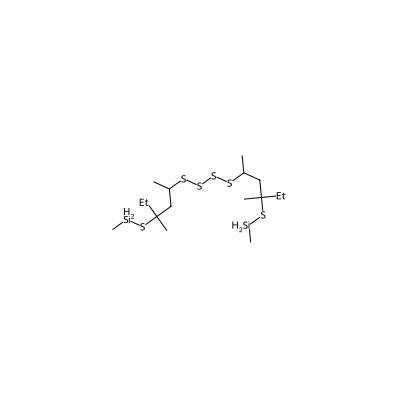 CCC(C)(CC(C)SSSSC(C)CC(C)(CC)S[SiH2]C)S[SiH2]C